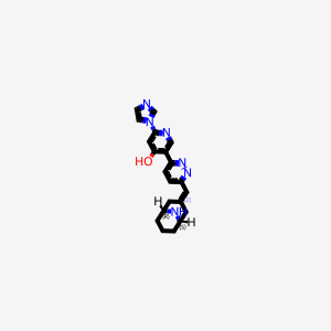 Oc1cc(-n2ccnc2)ncc1-c1ccc(/C=C2\C[C@H]3CCC[C@@H](C2)N3)nn1